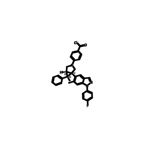 Cc1cc2c(cnn2-c2ccc(F)cc2)cc1[C@]12CN(c3ccc(C(=O)Cl)cc3)C[C@H]1[C@@]2(C)c1ccccc1